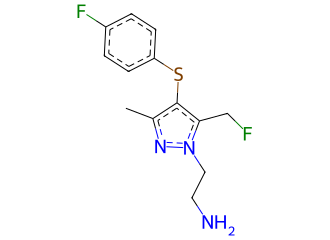 Cc1nn(CCN)c(CF)c1Sc1ccc(F)cc1